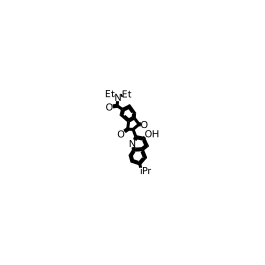 CCN(CC)C(=O)c1ccc2c(c1)C(=O)C(c1nc3ccc(C(C)C)cc3cc1O)C2=O